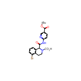 CC(C)(C)OC(=O)c1ccc(NC(=O)C2c3cccc(Br)c3CCN2C(=O)O)nc1